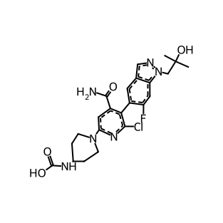 CC(C)(O)Cn1ncc2cc(-c3c(C(N)=O)cc(N4CCC(NC(=O)O)CC4)nc3Cl)c(F)cc21